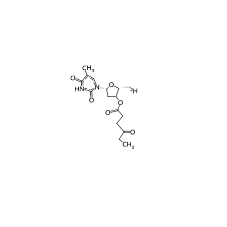 [2H]C[C@H]1O[C@@H](n2cc(C)c(=O)[nH]c2=O)CC1OC(=O)CCC(=O)CC